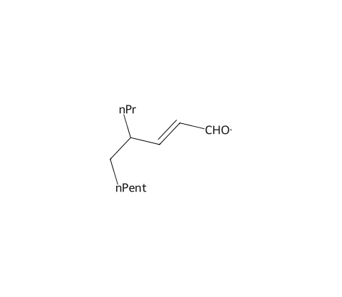 CCCCCCC(C=C[C]=O)CCC